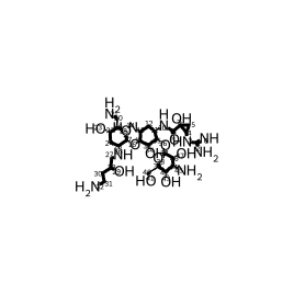 N=C(N)NC1CC1(O)C(=O)N[C@@H]1C[C@H](N)[C@@H](O[C@H]2O[C@H](CN)[C@@H](O)C[C@H]2NCC(O)CCN)[C@H](O)[C@H]1O[C@H]1O[C@H](CO)[C@@H](O)[C@H](N)[C@H]1O